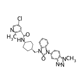 Cc1ncc(Cl)cc1C(=O)N[C@H]1CC[C@H](Cn2c(=O)n(-c3ccc4c(c3)nnn4C)c3ccccc32)CC1